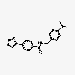 CN(C)c1ccc(CNC(=O)c2ccc(-c3cccs3)cc2)cc1